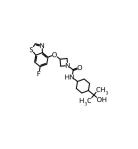 CC(C)(O)C1CCC(NC(=O)N2CC(Oc3cc(F)cc4scnc34)C2)CC1